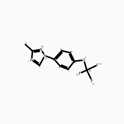 Cc1ncn(-c2ccc(OC(F)(F)F)cc2)n1